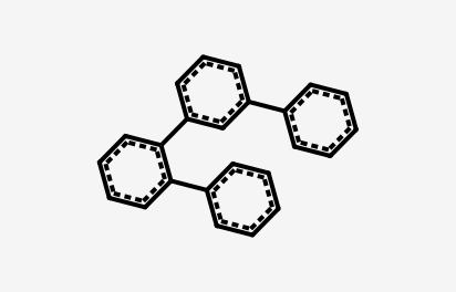 c1ccc(-c2cccc(-c3ccccc3-c3ccccc3)c2)cc1